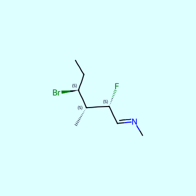 CC[C@H](Br)[C@@H](C)[C@H](F)C=NC